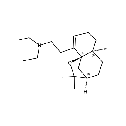 CCN(CC)CCC1=CCC[C@@]2(C)CC[C@@H]3C[C@]12OC3(C)C